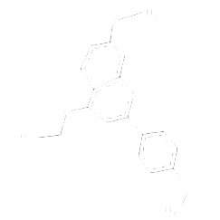 CCOc1cc(-c2ccc(OC)cc2)nc2cc(OC)ccc12